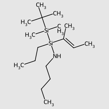 C/C=C(\C)[Si](CCC)(NCCCC)[Si](C)(C)C(C)(C)C